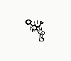 O=C(Cn1nc(C2CC2)c2c(Cl)c(-c3ccccc3)nnc21)N1CCCC1